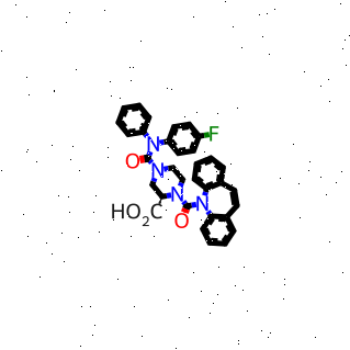 O=C(O)[C@@H]1CN(C(=O)N(c2ccccc2)c2ccc(F)cc2)CCN1C(=O)N1c2ccccc2C=Cc2ccccc21